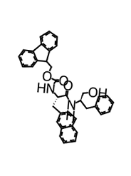 O=C(N[C@@H](Cc1ccc2ccccc2c1)C(=O)N[C@@H](CO)Cc1ccccc1)OCC1c2ccccc2-c2ccccc21